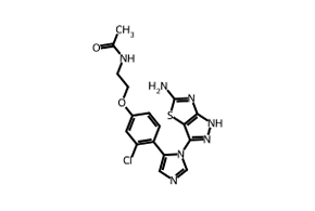 CC(=O)NCCOc1ccc(-c2cncn2-c2n[nH]c3nc(N)sc23)c(Cl)c1